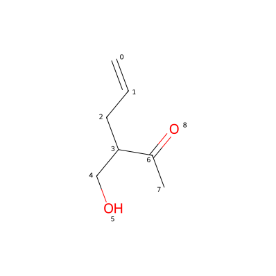 C=CCC(CO)C(C)=O